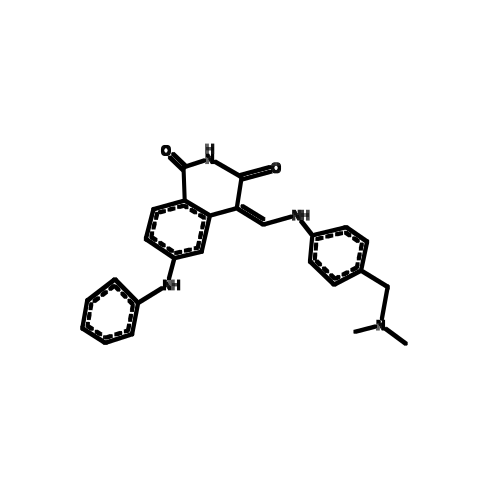 CN(C)Cc1ccc(NC=C2C(=O)NC(=O)c3ccc(Nc4ccccc4)cc32)cc1